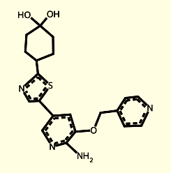 Nc1ncc(-c2cnc(C3CCC(O)(O)CC3)s2)cc1OCc1ccncc1